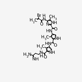 C=C(Br)C(=O)Nc1nc(C(=O)Nc2c[nH]c(C(=O)Nc3c[nH]c(C(=O)NCCC(=N)N)c3C)c2C)[nH]c1C